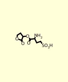 NC(CCS(=O)(=O)O)C(=O)OC1CCOC1=O